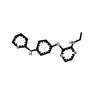 CCNc1nccnc1Oc1ccc(Nc2ccccn2)cc1